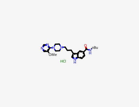 CCCCNC(=O)c1ccc2[nH]cc(CCCN3CCN(c4ncncc4OC)CC3)c2c1.Cl